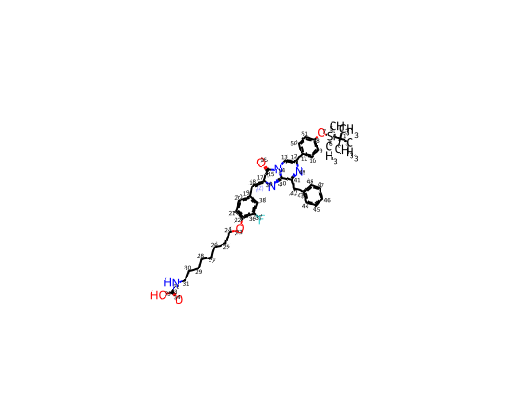 CC(C)(C)[Si](C)(C)Oc1ccc(C2=CN3C(=O)/C(=C/c4ccc(OCCCCCCCCNC(=O)O)c(F)c4)N=C3C(Cc3ccccc3)=N2)cc1